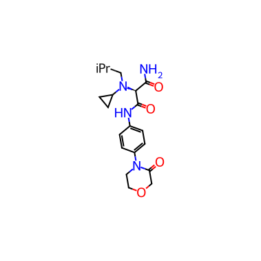 CC(C)CN(C1CC1)[C@@H](C(N)=O)C(=O)Nc1ccc(N2CCOCC2=O)cc1